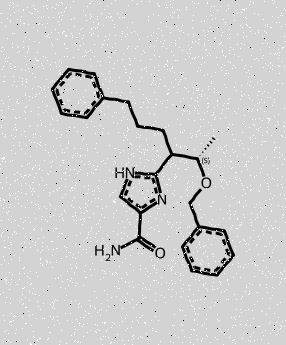 C[C@H](OCc1ccccc1)C(CCCc1ccccc1)c1nc(C(N)=O)c[nH]1